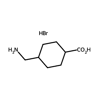 Br.NCC1CCC(C(=O)O)CC1